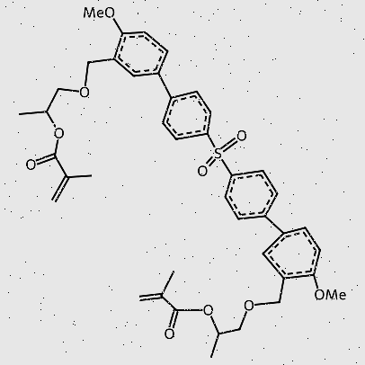 C=C(C)C(=O)OC(C)COCc1cc(-c2ccc(S(=O)(=O)c3ccc(-c4ccc(OC)c(COCC(C)OC(=O)C(=C)C)c4)cc3)cc2)ccc1OC